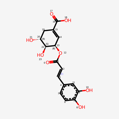 O=C(/C=C/c1ccc(O)c(O)c1)O[C@@H]1C=C(C(=O)O)C[C@@H](O)[C@@H]1O